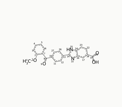 COc1ccccc1C(=O)c1ccc(-c2nc3cc(C(=O)O)ccc3[nH]2)cc1